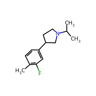 Cc1ccc(C2CCN(C(C)C)C2)cc1F